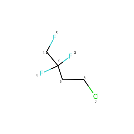 F[CH]C(F)(F)CCCl